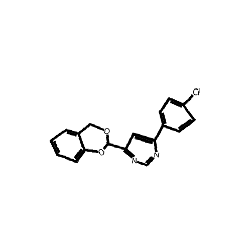 Clc1ccc(-c2cc(C3OCc4ccccc4O3)ncn2)cc1